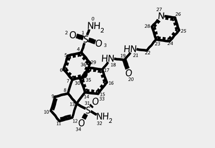 NS(=O)(=O)c1ccc(C2C=CC=CC2(c2ccc(NC(=O)NCc3cccnc3)cc2)S(N)(=O)=O)cc1